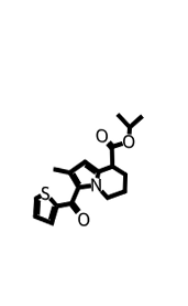 Cc1cc2n(c1C(=O)c1cccs1)CCCC2C(=O)OC(C)C